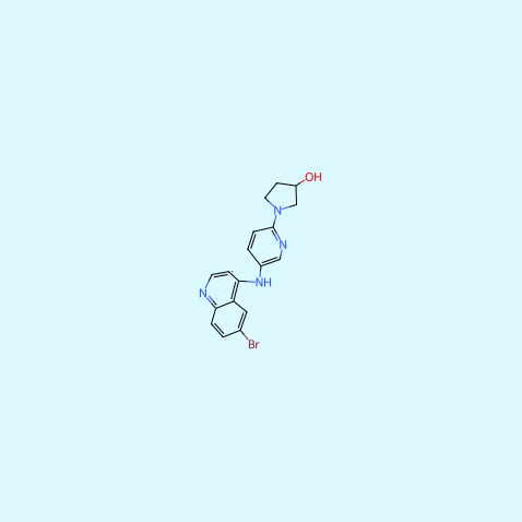 OC1CCN(c2ccc(Nc3[c]cnc4ccc(Br)cc34)cn2)C1